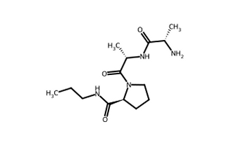 CCCNC(=O)[C@@H]1CCCN1C(=O)[C@H](C)NC(=O)[C@H](C)N